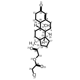 C[C@]12CC[C@H]3[C@@H](CCC4=CC(=O)CC[C@@]43C)[C@@H]1CC[C@@H]2C(=O)COC(=O)CCl